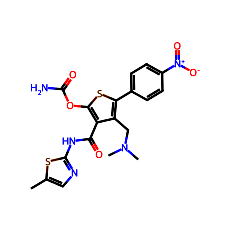 Cc1cnc(NC(=O)c2c(OC(N)=O)sc(-c3ccc([N+](=O)[O-])cc3)c2CN(C)C)s1